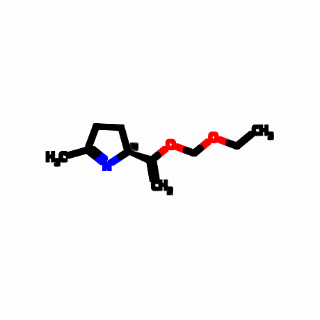 C=C(OCOCC)[C@@H]1CCC(C)=N1